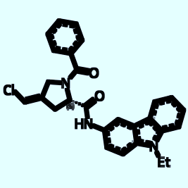 CCn1c2ccccc2c2cc(NC(=O)[C@@H]3CC(=CCl)CN3C(=O)c3ccccc3)ccc21